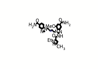 CCn1nc(C)cc1C(=O)Nc1nc2cc(C(N)=O)cc(OC)c2n1C/C=C/Cn1cnc2cc(C(N)=O)ccc21